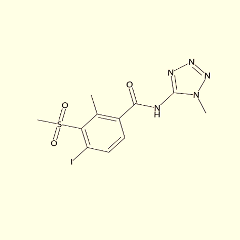 Cc1c(C(=O)Nc2nnnn2C)ccc(I)c1S(C)(=O)=O